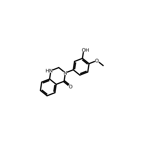 COc1ccc(N2CNc3ccccc3C2=O)cc1O